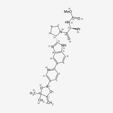 C=C1OB(c2ccc(-c3ccc4[nH]c([C@@H]5CCCN5C(=O)[C@@H](NC(=O)OC)C(C)C)nc4c3)nc2)OC1(C)C